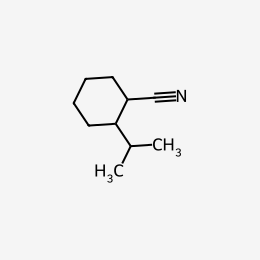 CC(C)C1CCCCC1C#N